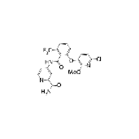 COc1nc(Cl)ccc1Oc1cccc(C(F)(F)F)c1C(=O)Nc1ccnc(C(N)=O)c1